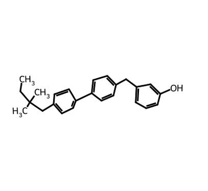 CCC(C)(C)Cc1ccc(-c2ccc(Cc3cccc(O)c3)cc2)cc1